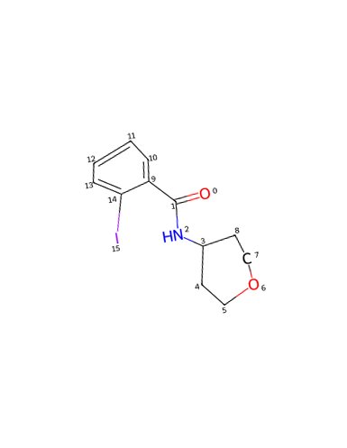 O=C(NC1CCOCC1)c1ccccc1I